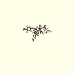 C=CCOC(=O)N[C@]1(C(=O)O)[C@H]2[C@@H](C[C@H]1OCc1ccc(F)cc1)[C@@H]2C(=O)OCC=C